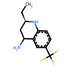 CC[C@@H]1CC(N)c2cc(C(F)(F)F)ccc2N1